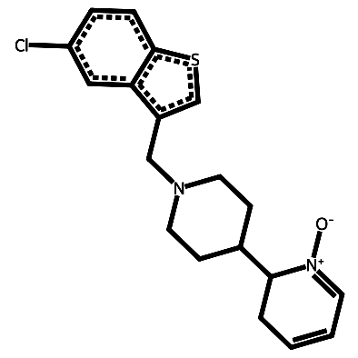 [O-][N+]1=CC=CCC1C1CCN(Cc2csc3ccc(Cl)cc23)CC1